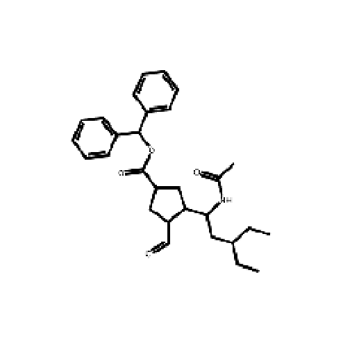 CCC(CC)CC(NC(C)=O)C1CC(C(=O)OC(c2ccccc2)c2ccccc2)CC1C=O